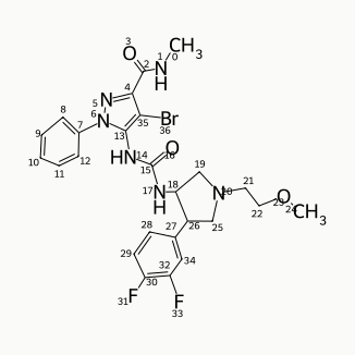 CNC(=O)c1nn(-c2ccccc2)c(NC(=O)NC2CN(CCOC)CC2c2ccc(F)c(F)c2)c1Br